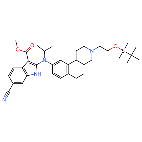 CCc1ccc(N(c2[nH]c3cc(C#N)ccc3c2C(=O)OC)C(C)C)cc1C1CCN(CCO[Si](C)(C)C(C)(C)C)CC1